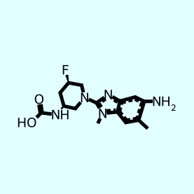 Cc1cc2c(cc1N)nc(N1C[C@H](F)C[C@@H](NC(=O)O)C1)n2C